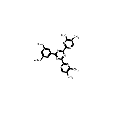 CCCCCCc1cc(CCCCCC)cc(-c2nc(-c3ncc(C)c(C)n3)nc(-c3ncc(C)c(C)n3)n2)c1